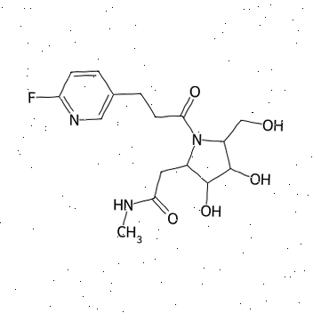 CNC(=O)CC1C(O)C(O)C(CO)N1C(=O)CCc1ccc(F)nc1